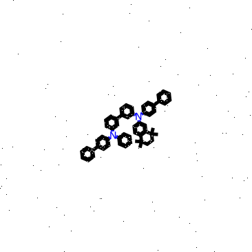 CC1(C)CCC(C)(C)c2cc(N(c3ccc(-c4ccccc4)cc3)c3cccc(-c4cccc(N(c5ccccc5)c5ccc(-c6ccccc6)cc5)c4)c3)ccc21